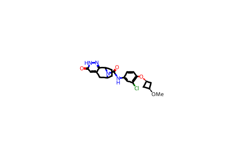 CO[C@H]1C[C@@H](Oc2ccc(NC(=O)N3C4CCC3c3n[nH]c(=O)cc3C4)cc2Cl)C1